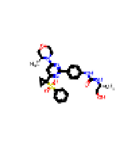 C[C@H](CO)NC(=O)Nc1ccc(-c2nc(N3CCOC[C@@H]3C)cc(C3(S(=O)(=O)c4ccccc4)CC3)n2)cc1